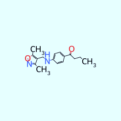 CCCC(=O)c1ccc(NCc2c(C)noc2C)cc1